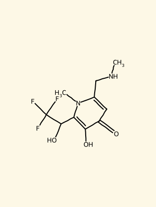 CNCc1cc(=O)c(O)c(C(O)C(F)(F)F)n1C